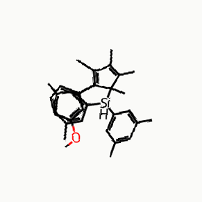 COc1cccc(C2=C(C)C(C)=C(C)C2(C)[SiH](c2cc(C)cc(C)c2)c2cc(C)cc(C)c2)c1